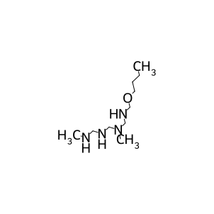 CCCCOCNCN(C)CNCNC